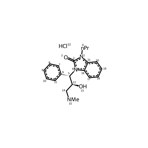 CCCn1c(=O)n([C@@H](c2ccccc2)[C@@H](O)CNC)c2ccccc21.Cl